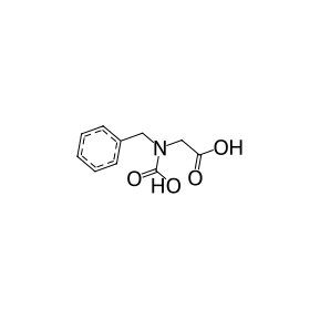 O=C(O)CN(Cc1ccccc1)C(=O)O